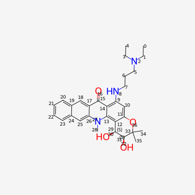 CCN(CC)CCCNc1cc2c(c3c1c(=O)c1cc4ccccc4cc1n3C)[C@H](O)[C@H](O)C(C)(C)O2